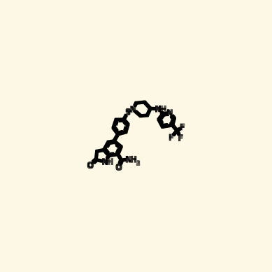 NC(=O)c1cc(-c2ccc(SN3CCC(Nc4ccc(C(F)(F)F)cn4)CC3)cc2)cc2c1NC(=O)C2